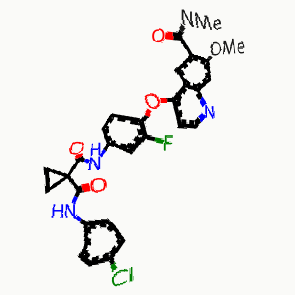 CNC(=O)c1cc2c(Oc3ccc(NC(=O)C4(C(=O)Nc5ccc(Cl)cc5)CC4)cc3F)ccnc2cc1OC